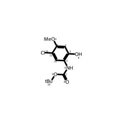 COc1cc(O)c(NC(=O)OC(C)(C)C)cc1Cl